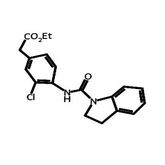 CCOC(=O)Cc1ccc(NC(=O)N2CCc3ccccc32)c(Cl)c1